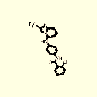 O=C(Nc1ccc(Nc2cccc3nc(C(F)(F)F)cn23)cc1)c1ccccc1Cl